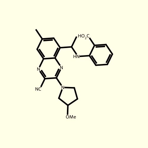 COC1CCN(c2nc3c(C(C)Nc4ccccc4C(=O)O)cc(C)cc3nc2C#N)C1